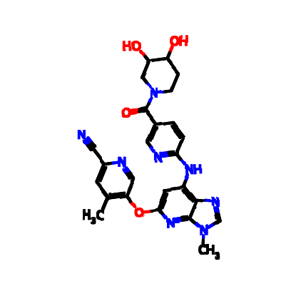 Cc1cc(C#N)ncc1Oc1cc(Nc2ccc(C(=O)N3CCC(O)C(O)C3)cn2)c2ncn(C)c2n1